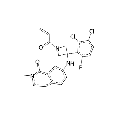 C=CC(=O)N1CC(Nc2ccc3ccn(C)c(=O)c3c2)(c2c(F)ccc(Cl)c2Cl)C1